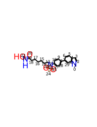 Cn1ccc2ccc(-c3ccc(N(CCCCCCC(=O)NO)S(C)(=O)=O)cc3)cc21